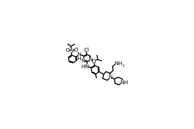 Cc1cc(Nc2ncc(Cl)c(Nc3ccccc3S(=O)(=O)C(C)C)n2)c(OC(C)C)cc1C1CCN(C2CCNCC2)C(CCN)C1